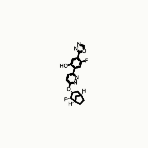 Oc1cc(-c2nnco2)c(F)cc1-c1ccc(O[C@@H]2C[C@H]3CC[C@H](C3)[C@@H]2F)nn1